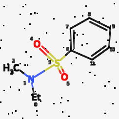 CCN(C)S(=O)(=O)c1cc[c]cc1